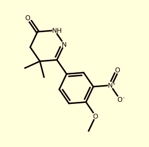 COc1ccc(C2=NNC(=O)CC2(C)C)cc1[N+](=O)[O-]